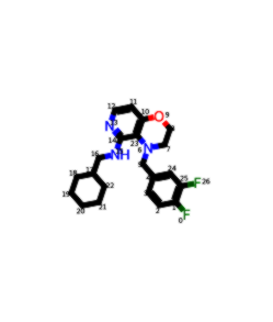 Fc1ccc(CN2CCOc3ccnc(NCC4CCCCC4)c32)cc1F